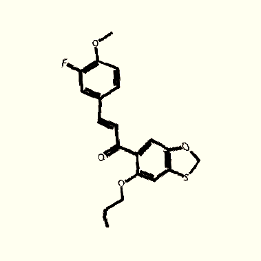 CCCOc1cc2c(cc1C(=O)C=Cc1ccc(OC)c(F)c1)OCS2